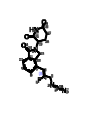 [N-]=[N+]=NC/C(F)=C/c1cccc2c1CN(C1CCC(=O)NC1=O)C2=O